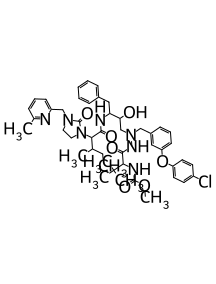 CCC(C)C(C(=O)NC(Cc1ccccc1)C(O)CN(Cc1cccc(Oc2ccc(Cl)cc2)c1)NC(=O)C(NC(=O)OC)C(C)(C)C)N1CCN(Cc2cccc(C)n2)C1=O